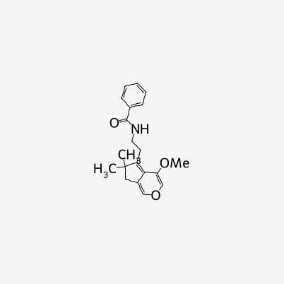 COC1=COC=C2CC(C)(C)C(CCNC(=O)c3ccccc3)=C21